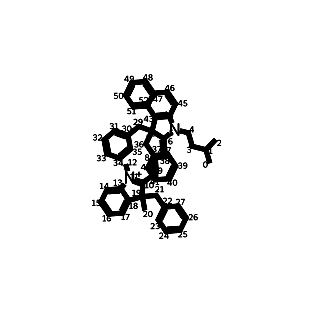 CC(C)CCN1/C(=C/C=C/C2=[N+](C)c3ccccc3C2(C)Cc2ccccc2)C(Cc2ccccc2)(Cc2ccccc2)c2c1ccc1ccccc21